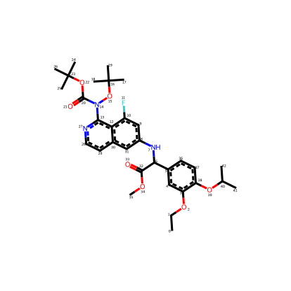 CCOc1cc(C(Nc2cc(F)c3c(N(OC(C)(C)C)C(=O)OC(C)(C)C)nccc3c2)C(=O)OC)ccc1OC(C)C